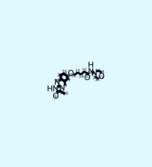 C=c1c(=O)[nH]c2n1Cc1cc(OCCCCC(=O)NN3CCOCC3)ccc1N=2